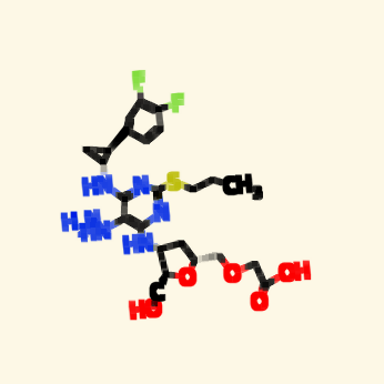 CCCSc1nc(N[C@@H]2C[C@H](COCC(=O)O)O[C@H]2CO)c(NN)c(N[C@@H]2C[C@H]2c2ccc(F)c(F)c2)n1